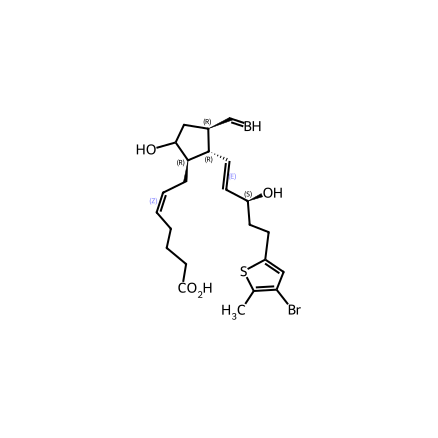 B=C[C@@H]1CC(O)[C@H](C/C=C\CCCC(=O)O)[C@H]1/C=C/[C@@H](O)CCc1cc(Br)c(C)s1